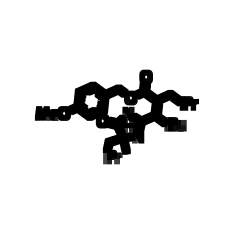 CCC(C)C(C1=NC(C)(CC(C)C)C(=O)N1)=C(CC(C)C)C(=O)OCc1ccc(OC)cc1